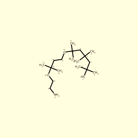 CC(C)(S)CC(C)(C)CC(C)(C)OCCC(C)(C)OCCN